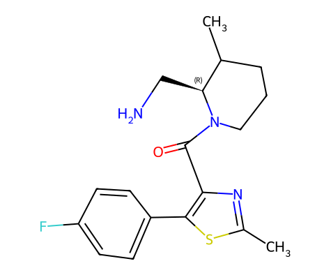 Cc1nc(C(=O)N2CCCC(C)[C@@H]2CN)c(-c2ccc(F)cc2)s1